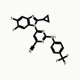 N#Cc1cc(-n2c(C3CC3)nc3cc(F)c(F)cc32)nc(Nc2ccc(C(F)(F)F)cc2)n1